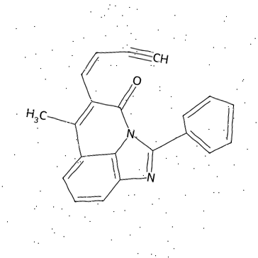 C#C/C=C\c1c(C)c2cccc3nc(-c4ccccc4)n(c1=O)c32